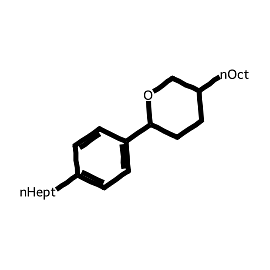 CCCCCCCCC1CCC(c2ccc(CCCCCCC)cc2)OC1